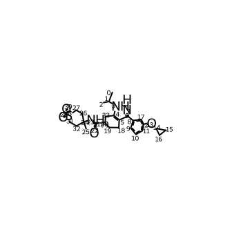 CC(C)NC1=C(C(=N)c2cccc(OC3CC3)c2)CC[C@@H](C(=O)NC2(C)CCS(=O)(=O)CC2)C1